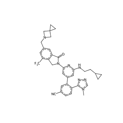 Cn1cnnc1-c1ccc(C#N)cc1-c1cc(NCCC2CC2)nc(N2Cc3c(cc(CN4CC5(CC5)C4)cc3C(F)(F)F)C2=O)c1